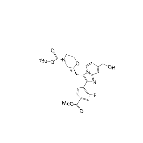 COC(=O)c1ccc(-c2nc3cc(CO)ccn3c2C[C@H]2CN(C(=O)OC(C)(C)C)CCO2)c(F)c1